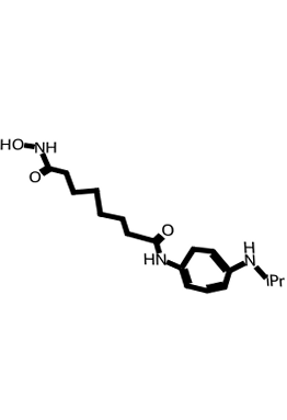 CC(C)NC1=CCC(NC(=O)CCCCCCC(=O)NO)=CC=C1